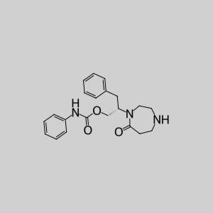 O=C(Nc1ccccc1)OC[C@H](Cc1ccccc1)N1CCNCCC1=O